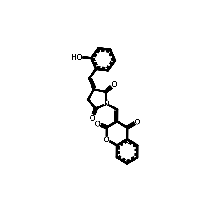 O=C1Oc2ccccc2C(=O)C1=CN1C(=O)CC(=Cc2ccccc2O)C1=O